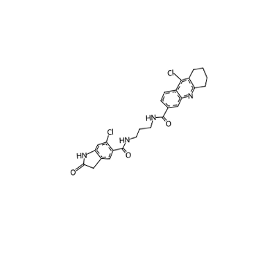 O=C1Cc2cc(C(=O)NCCCNC(=O)c3ccc4c(Cl)c5c(nc4c3)CCCC5)c(Cl)cc2N1